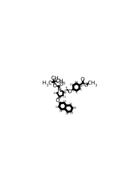 COC(=O)c1ccc(OC[C@@H]2C[C@H](Oc3ccc4ccccc4c3)CN2C(=O)OC(C)(C)C)cc1